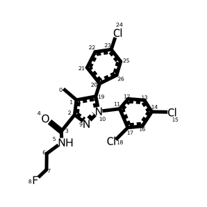 Cc1c(C(=O)NCCF)nn(-c2ccc(Cl)cc2Cl)c1-c1ccc(Cl)cc1